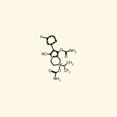 C[C@@H](C(F)(F)F)[N+]1(OC(N)=O)CCn2c(C#N)c(-c3cccc(F)c3)c(OC(N)=O)c2C1